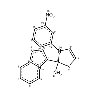 NC1(c2cnc3ccccn23)SC=CN1c1cccc([N+](=O)[O-])c1